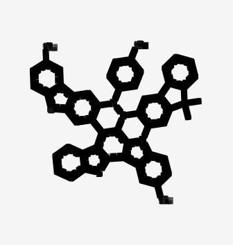 CC(C)(C)c1ccc(N2B3c4cc5c(cc4-n4c6ccc(C(C)(C)C)cc6c6c7sc8ccccc8c7c(c3c64)-c3cc4oc6ccc(C(C)(C)C)cc6c4cc32)C(C)(C)c2ccccc2-5)cc1